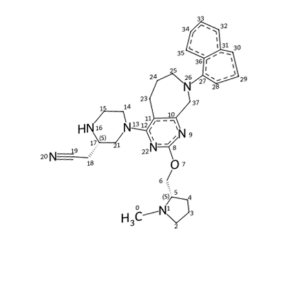 CN1CCC[C@H]1COc1nc2c(c(N3CCN[C@@H](CC#N)C3)n1)CCCN(c1cccc3ccccc13)C2